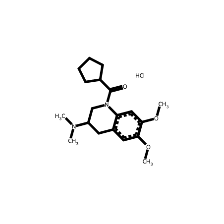 COc1cc2c(cc1OC)N(C(=O)C1CCCC1)CC(N(C)C)C2.Cl